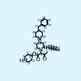 CC(=O)C(C(=O)ON1CCNCC1)N1CCN(N2CCC(Cc3ccccc3)CC2)CC1.Cl.Cl.Cl.Cl